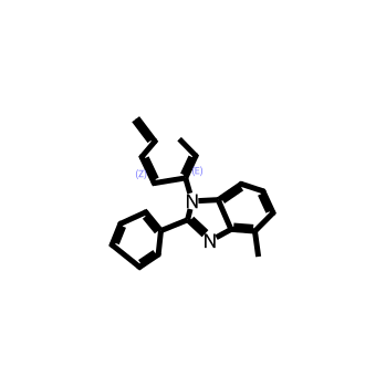 C=C/C=C\C(=C/C)n1c(-c2ccccc2)nc2c(C)cccc21